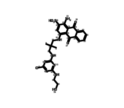 CC(C)(CNc1nc(Cl)nc(NCCO)n1)CNc1cc(S(=O)(=O)O)c(N)c2c1C(=O)c1ccccc1C2=O